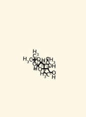 CC[C@@]1(C(O)CO)O[C@@H]2OC(C)(C)O[C@@H]2[C@@H]1OC